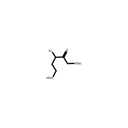 [CH2]C(=O)C(CCCCCCCCCCCC)C(=O)CCCCCCCCCCC